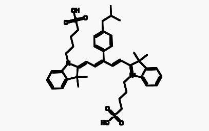 CC(C)Cc1ccc(C(=C\C=C2\N(CCCCS(=O)(=O)O)c3ccccc3C2(C)C)/C=C/C2=[N+](CCCCS(=O)(=O)O)c3ccccc3C2(C)C)cc1